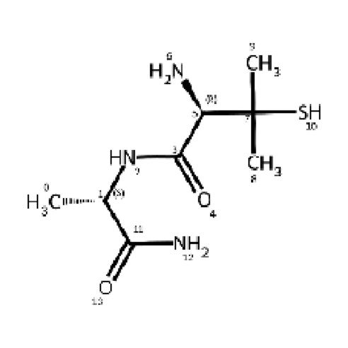 C[C@H](NC(=O)[C@@H](N)C(C)(C)S)C(N)=O